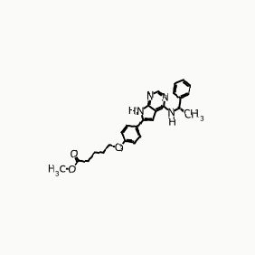 COC(=O)CCCCOc1ccc(-c2cc3c(N[C@H](C)c4ccccc4)ncnc3[nH]2)cc1